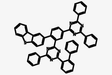 c1ccc(-c2nc(-c3ccccc3)nc(-c3ccc(-c4ccc5sc6ccccc6c5c4)c(-c4nc(-c5ccccc5)nc(-c5ccccc5-c5ccccc5)n4)c3)n2)cc1